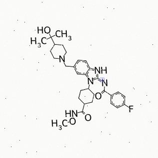 CONC(=O)C1CCC(n2/c(=N\C(=O)c3ccc(F)cc3)[nH]c3ccc(CN4CCC(C(C)(C)O)CC4)cc32)CC1